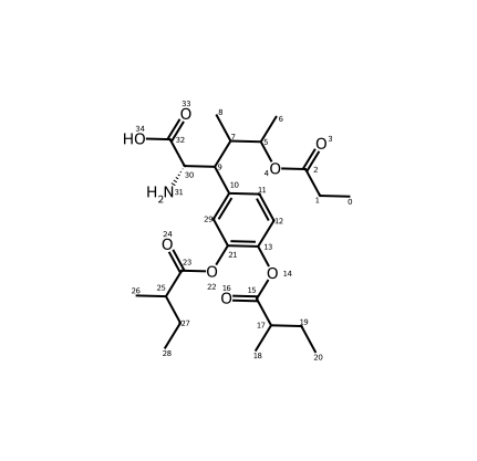 CCC(=O)OC(C)C(C)C(c1ccc(OC(=O)C(C)CC)c(OC(=O)C(C)CC)c1)[C@H](N)C(=O)O